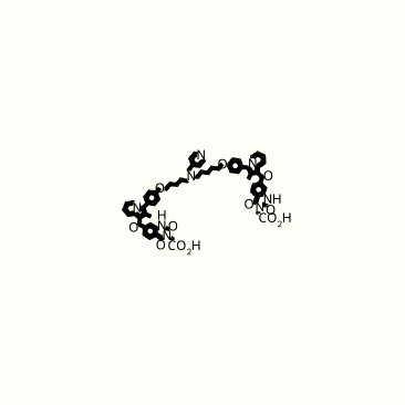 Cc1c(C(=O)c2ccc3c(=O)n(CC(=O)O)c(=O)[nH]c3c2)c2ccccn2c1-c1ccc(OCCCCCN(CCCCCOc2ccc(-c3c(C)c(C(=O)c4ccc5c(=O)n(CC(=O)O)c(=O)[nH]c5c4)c4ccccn34)cc2)Cc2ccncc2)cc1